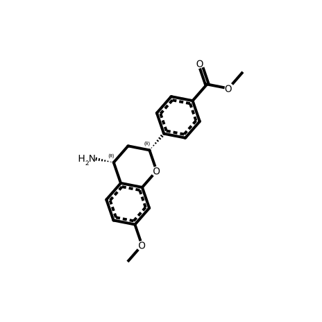 COC(=O)c1ccc([C@H]2C[C@@H](N)c3ccc(OC)cc3O2)cc1